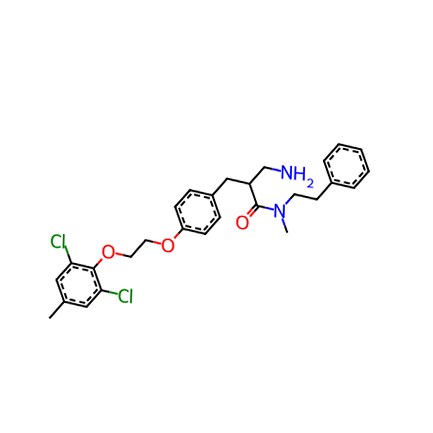 Cc1cc(Cl)c(OCCOc2ccc(CC(CN)C(=O)N(C)CCc3ccccc3)cc2)c(Cl)c1